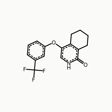 O=c1[nH]cc(Oc2cccc(C(F)(F)F)c2)c2c1CCCC2